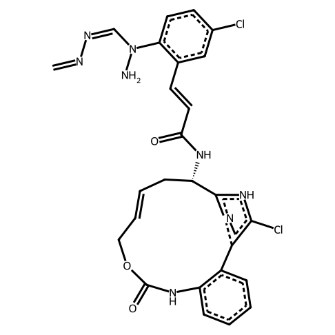 C=N/N=C\N(N)c1ccc(Cl)cc1/C=C/C(=O)N[C@H]1C/C=C/COC(=O)Nc2ccccc2-c2nc1[nH]c2Cl